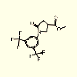 COC(=O)C1CC(=O)N(c2cc(C(F)(F)F)cc(C(F)(F)F)c2)C1